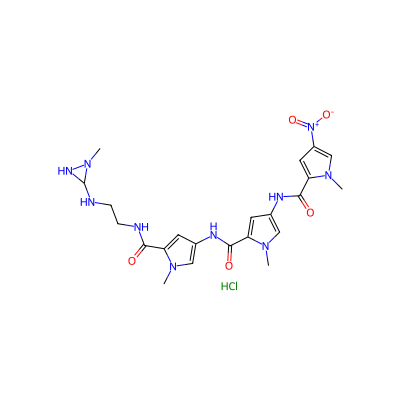 CN1NC1NCCNC(=O)c1cc(NC(=O)c2cc(NC(=O)c3cc([N+](=O)[O-])cn3C)cn2C)cn1C.Cl